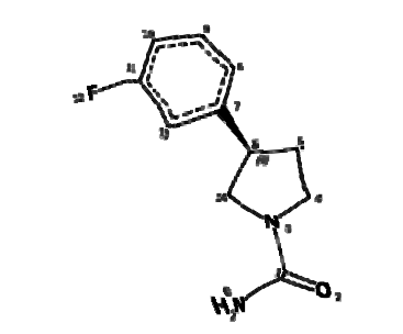 NC(=O)N1C[CH][C@H](c2cccc(F)c2)C1